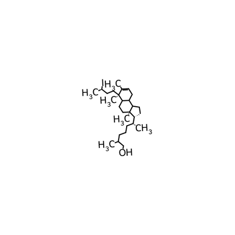 CC1=CCC2C(CC[C@@]3(C)C2CC[C@@H]3[C@H](C)CCCC(C)CO)[C@@]1(C)CC[C@@H](C)I